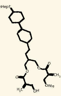 C=C(CO)C(=O)OCC(CCC1CCC(C2CCC(CCCCCCC)CC2)CC1)COC(=O)C(=C)COC